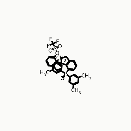 Cc1cc(C)cc(P(=O)(c2cc(C)cc(C)c2)c2cccc3c2[C@]2(CCc4cccc(OS(=O)(=O)C(F)(F)F)c42)CC3)c1